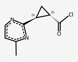 Cc1ccnc([C@H]2C[C@@H]2C(=O)Cl)n1